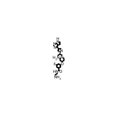 NCCNC(=O)c1cc(F)cc(OC2CCN(CC(CN)n3cc(-c4ncnc5[nH]ccc45)cn3)CC2)c1